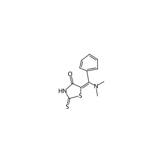 CN(C)C(=C1SC(=S)NC1=O)c1ccccc1